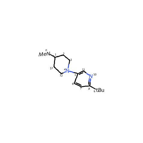 CNC1CCN(c2ccc(C(C)(C)C)nc2)CC1